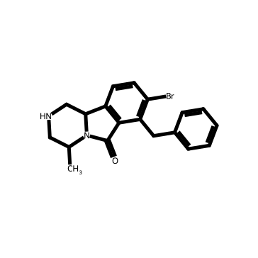 CC1CNCC2c3ccc(Br)c(Cc4ccccc4)c3C(=O)N12